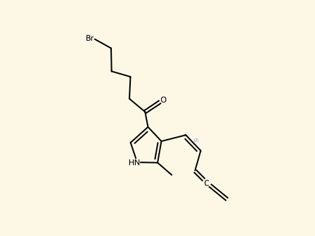 C=C=C/C=C\c1c(C(=O)CCCCBr)c[nH]c1C